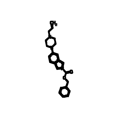 C=CCN1CCN(c2ccc3cn(C(=O)OCc4ccccc4)cc3c2)CC1